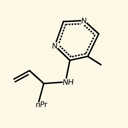 C=CC(CCC)Nc1ncncc1C